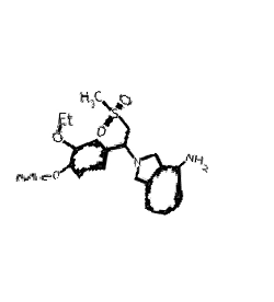 CCOc1cc(C(CS(C)(=O)=O)N2Cc3cccc(N)c3C2)ccc1OC